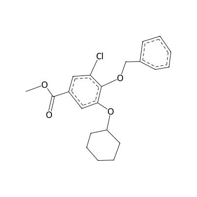 COC(=O)c1cc(Cl)c(OCc2ccccc2)c(OC2CCCCC2)c1